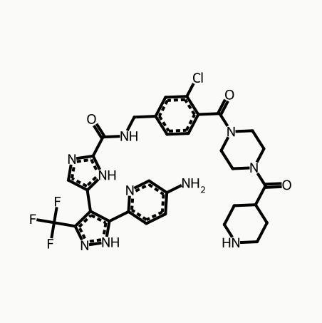 Nc1ccc(-c2[nH]nc(C(F)(F)F)c2-c2cnc(C(=O)NCc3ccc(C(=O)N4CCN(C(=O)C5CCNCC5)CC4)c(Cl)c3)[nH]2)nc1